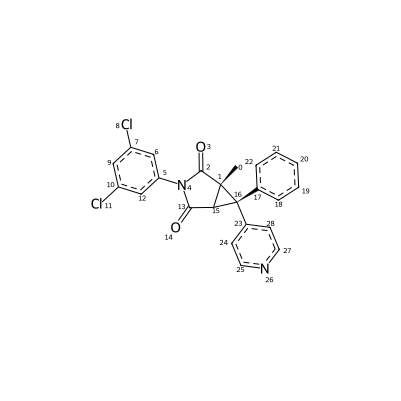 C[C@]12C(=O)N(c3cc(Cl)cc(Cl)c3)C(=O)C1[C@@]2(c1ccccc1)c1ccncc1